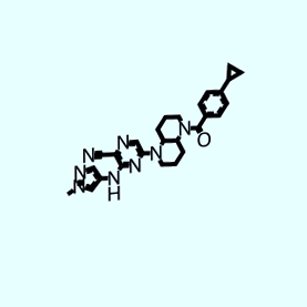 Cn1cc(Nc2nc(N3CCCC4C3CCCN4C(=O)c3ccc(C4CC4)cc3)cnc2C#N)cn1